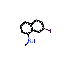 CNc1cccc2ccc(I)cc12